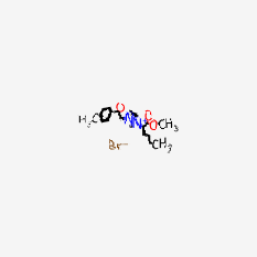 CCCCC(C(=O)OCC)[n+]1ccn(CC(=O)c2ccc(C)cc2)c1.[Br-]